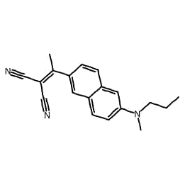 CCCN(C)c1ccc2cc(C(C)=C(C#N)C#N)ccc2c1